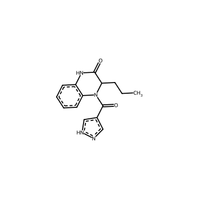 CCCC1C(=O)Nc2ccccc2N1C(=O)c1cn[nH]c1